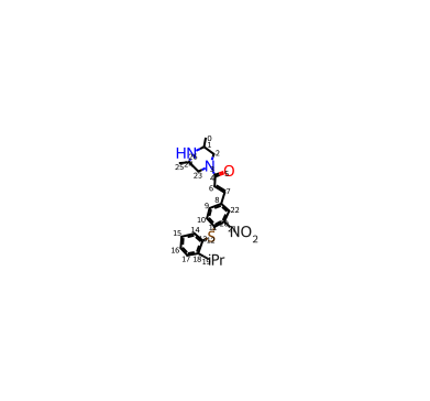 CC1CN(C(=O)C=Cc2ccc(Sc3ccccc3C(C)C)c([N+](=O)[O-])c2)CC(C)N1